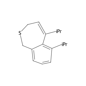 CC(C)C1=CCSCc2cccc(C(C)C)c21